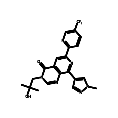 Cn1cc(-c2nc(-c3ccc(C(F)(F)F)cn3)cc3c(=O)n(CC(C)(C)O)cnc23)cn1